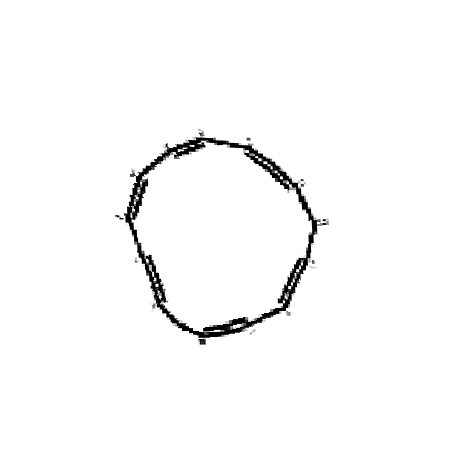 [C]1=CC=CC=CC=CC=CC=CC1